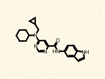 O=C(Nc1ccc2[nH]ccc2c1)c1cc(N(CC2CC2)C2CCCCC2)ncn1